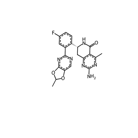 Cc1nc(N)nc2c1C(=O)N[C@@H](c1ccc(F)cc1-c1ncc3c(n1)OC(C)O3)C2